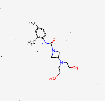 Cc1ccc(NC(=O)N2CC(N(CCO)CCO)C2)c(C)c1